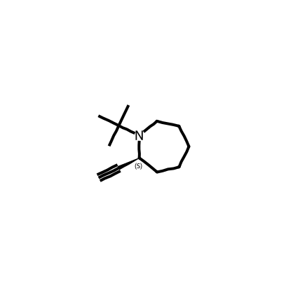 C#C[C@@H]1CCCCCN1C(C)(C)C